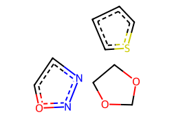 C1COCO1.c1ccsc1.c1conn1